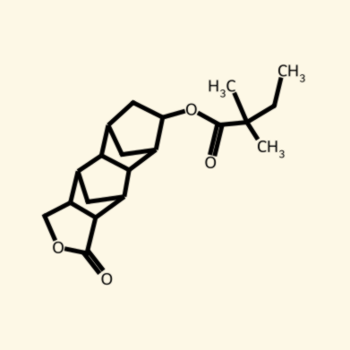 CCC(C)(C)C(=O)OC1CC2CC1C1C3CC(C4COC(=O)C43)C21